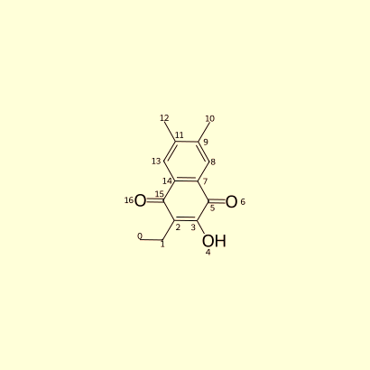 CCC1=C(O)C(=O)c2cc(C)c(C)cc2C1=O